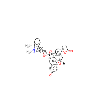 CNC1(C)C2CCC(C2)C1(C)C.COC(=O)[C@@H]1CC2=CC(=O)CC[C@]2(C)[C@@]23O[C@@H]2C[C@@]2(C)[C@@H](CC[C@@]24CCC(=O)O4)[C@H]13